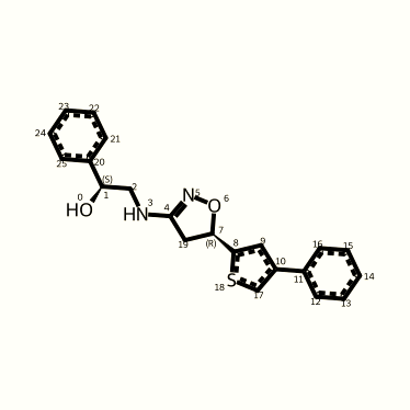 O[C@H](CNC1=NO[C@@H](c2cc(-c3ccccc3)cs2)C1)c1ccccc1